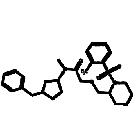 CN(C(=O)COCC1CCCCN1S(=O)(=O)c1ccccc1C(F)(F)F)[C@H]1CCN(Cc2ccccc2)C1